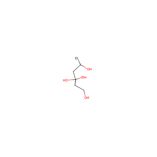 CCC(O)CC(O)(O)CCO